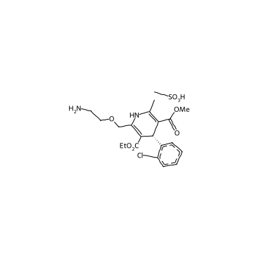 CCOC(=O)C1=C(COCCN)NC(C)=C(C(=O)OC)[C@@H]1c1ccccc1Cl.CS(=O)(=O)O